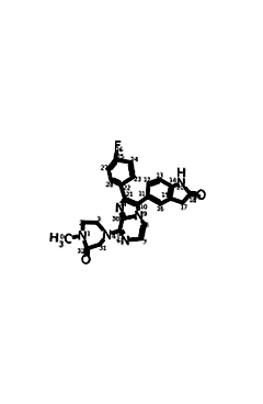 CN1CCN(c2nccn3c(-c4ccc5c(c4)CC(=O)N5)c(-c4ccc(F)cc4)nc23)CC1=O